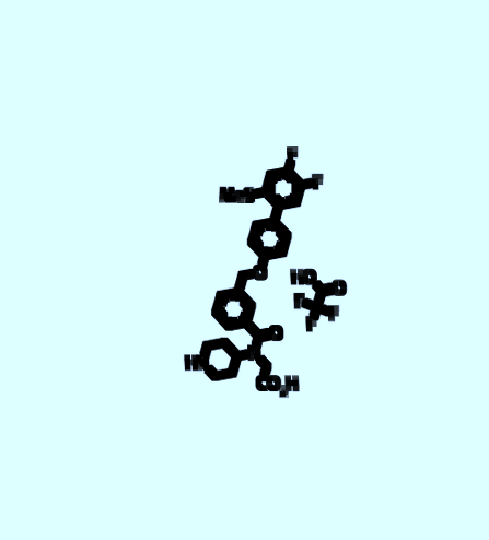 CSc1cc(F)c(F)cc1-c1ccc(OCc2cccc(C(=O)N(CC(=O)O)C3CCNCC3)c2)cc1.O=C(O)C(F)(F)F